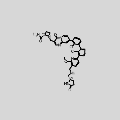 COc1nc(-c2cccc(-c3cccc(-c4ccn5c(=O)c(CN6CC[C@@H]6C(N)=O)cnc5c4)c3Cl)c2Cl)ccc1CNC[C@@H]1CCC(=O)N1